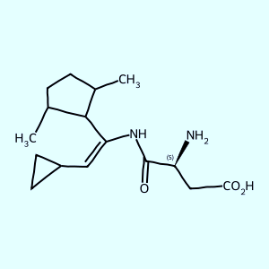 CC1CCC(C)C1C(=CC1CC1)NC(=O)[C@@H](N)CC(=O)O